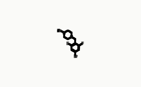 CC(C)N1CCN(Cc2c(F)cc(Br)cc2F)CC1